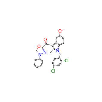 COc1ccc2c(c1)c(C(=O)C1=NN(c3ccccc3)CO1)c(C)n2Cc1ccc(Cl)cc1Cl